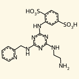 NCCNc1nc(NCc2ccccn2)nc(Nc2cc(S(=O)(=O)O)ccc2S(=O)(=O)O)n1